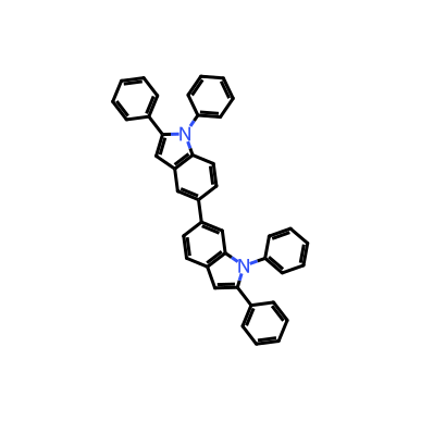 c1ccc(-c2cc3cc(-c4ccc5cc(-c6ccccc6)n(-c6ccccc6)c5c4)ccc3n2-c2ccccc2)cc1